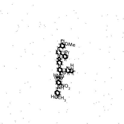 COc1ccc(CN2CCN(C3CC4(CCN(c5ccc(C(=O)NS(=O)(=O)c6ccc(NC[C@H]7CC[C@](C)(O)CC7)c([N+](=O)[O-])c6)c(Oc6cnc7[nH]ccc7c6)c5)CC4)C3)C(c3ccccc3C(C)C)C2)cc1Cl